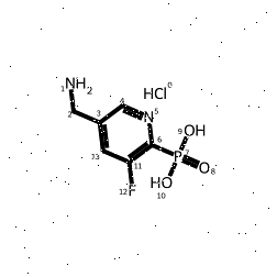 Cl.NCc1cnc(P(=O)(O)O)c(F)c1